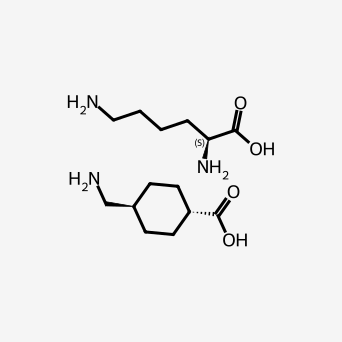 NCCCC[C@H](N)C(=O)O.NC[C@H]1CC[C@H](C(=O)O)CC1